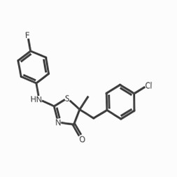 CC1(Cc2ccc(Cl)cc2)SC(Nc2ccc(F)cc2)=NC1=O